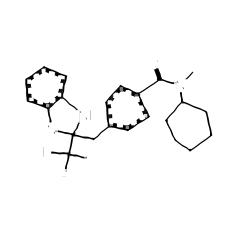 CN(C(=O)c1ccc(CC2(C(F)(F)F)Nc3ccccc3N2)cc1)C1CCCCC1